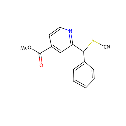 COC(=O)c1ccnc(C(SC#N)c2ccccc2)c1